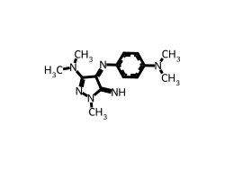 CN(C)C1=NN(C)C(=N)C1=Nc1ccc(N(C)C)cc1